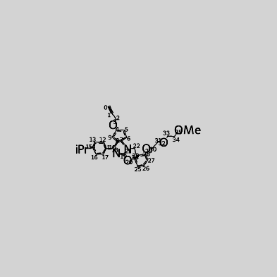 C#CCOc1ccc2c(c1)c(-c1ccc(C(C)C)cc1)nc(=O)n2Cc1ccccc1OCCOCCOC